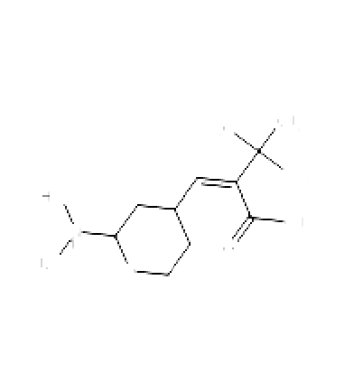 C[SiH](C)C1CC(C=C(C(=O)O)C(C)(C)C)CCO1